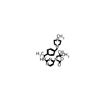 C[C@H](Nc1nccc(N2CC(C)(C)OC2=O)n1)c1ccc(CN2CCN(C)CC2)cc1